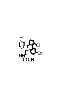 CCc1cccc(-c2c(Cl)cccc2C(OCCNC(=O)O)[C@H]2CNCCO2)c1